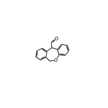 O=CC1c2ccccc2COc2ccccc21